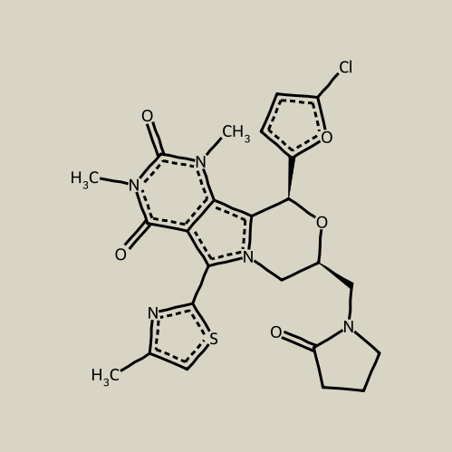 Cc1csc(-c2c3c(=O)n(C)c(=O)n(C)c3c3n2C[C@H](CN2CCCC2=O)O[C@@H]3c2ccc(Cl)o2)n1